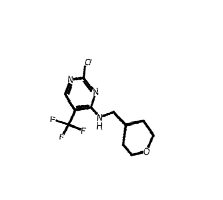 FC(F)(F)c1cnc(Cl)nc1NCC1CCOCC1